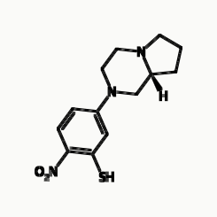 O=[N+]([O-])c1ccc(N2CCN3CCC[C@@H]3C2)cc1S